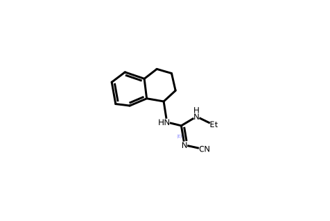 CCN/C(=N\C#N)NC1CCCc2ccccc21